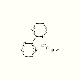 [Cl-].[Cl-].[Pt+2].c1cnc(-c2ncccn2)nc1